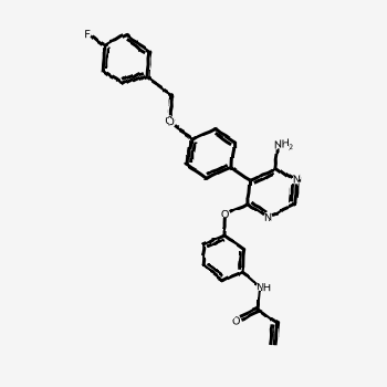 C=CC(=O)Nc1cccc(Oc2ncnc(N)c2-c2ccc(OCc3ccc(F)cc3)cc2)c1